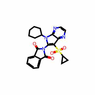 O=C1c2ccccc2C(=O)N1c1c(S(=O)(=O)C2CC2)c2nccnc2n1C1CCCCC1